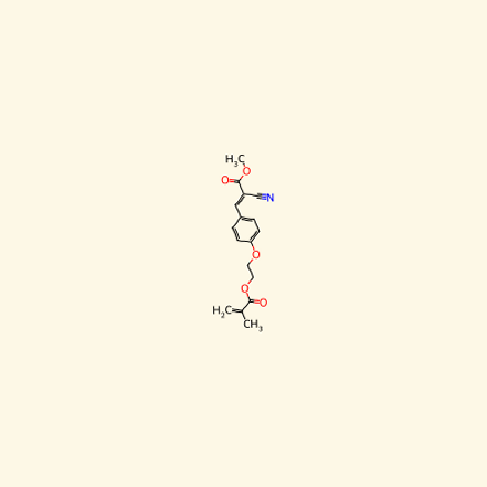 C=C(C)C(=O)OCCOc1ccc(/C=C(\C#N)C(=O)OC)cc1